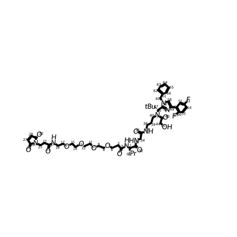 CC(C)C(NC(=O)CCOCCOCCOCCOCCNC(=O)CCN1C(=O)C=CC1=O)C(=O)NCC(=O)NCCCN(C(=O)CO)[C@@H](c1nc(-c2cc(F)ccc2F)cn1Cc1ccccc1)C(C)(C)C